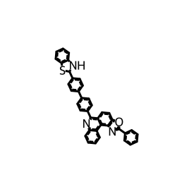 c1ccc(-c2nc3c(ccc4c(-c5ccc(-c6ccc(C7Nc8ccccc8S7)cc6)cc5)nc5ccccc5c43)o2)cc1